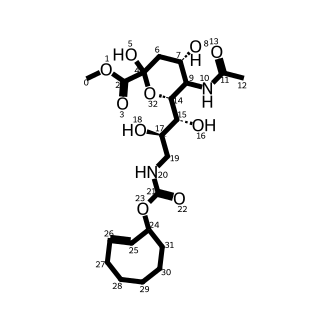 COC(=O)C1(O)C[C@H](O)C(NC(C)=O)[C@H]([C@H](O)[C@H](O)CNC(=O)OC2/C=C/CCCCC2)O1